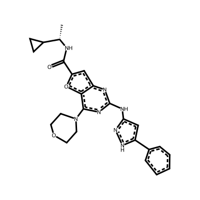 C[C@H](NC(=O)c1cc2nc(Nc3cc(-c4ccccc4)[nH]n3)nc(N3CCOCC3)c2o1)C1CC1